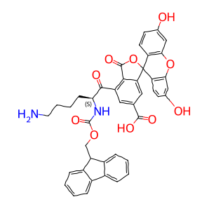 NCCCC[C@H](NC(=O)OCC1c2ccccc2-c2ccccc21)C(=O)c1cc(C(=O)O)cc2c1C(=O)OC21c2ccc(O)cc2Oc2cc(O)ccc21